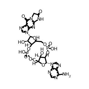 Nc1ncnc2c1ncn2[C@@H]1O[C@@H]2COP(=O)(O)O[C@H]3[C@@H](O)[C@H](n4cnc5c(=O)n6c(nc54)NC(=O)C6)O[C@@H]3COP(=O)(O)O[C@@H]1[C@@H]2O